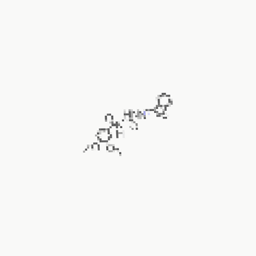 CCOc1ccc(C(=O)NCC(=O)N/N=C/c2csc3ccccc23)cc1OCC